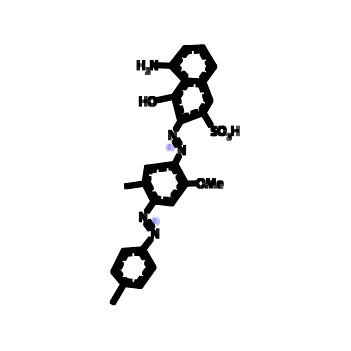 COc1cc(/N=N/c2ccc(C)cc2)c(C)cc1/N=N/c1c(S(=O)(=O)O)cc2cccc(N)c2c1O